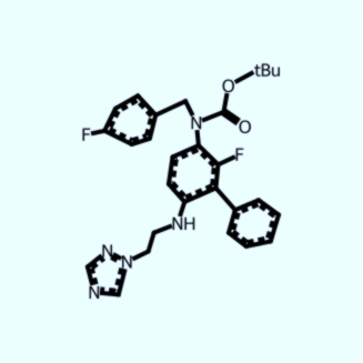 CC(C)(C)OC(=O)N(Cc1ccc(F)cc1)c1ccc(NCCn2cncn2)c(-c2ccccc2)c1F